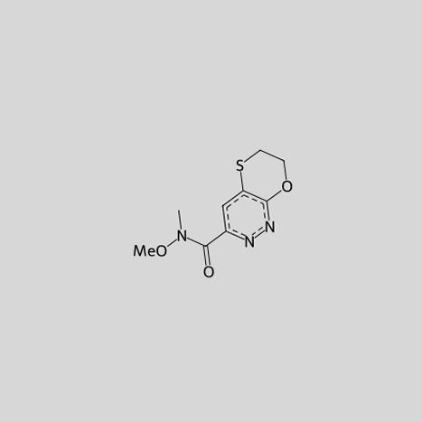 CON(C)C(=O)c1cc2c(nn1)OCCS2